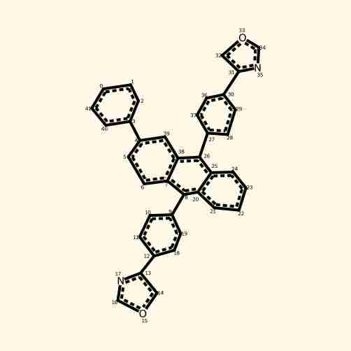 c1ccc(-c2ccc3c(-c4ccc(-c5cocn5)cc4)c4ccccc4c(-c4ccc(-c5cocn5)cc4)c3c2)cc1